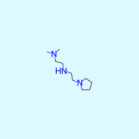 CN(C)CCNCCN1CCCC1